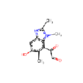 Cc1c(O)cc2nc(C)n(C)c2c1C(=O)C=O